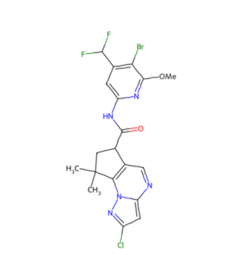 COc1nc(NC(=O)C2CC(C)(C)c3c2cnc2cc(Cl)nn32)cc(C(F)F)c1Br